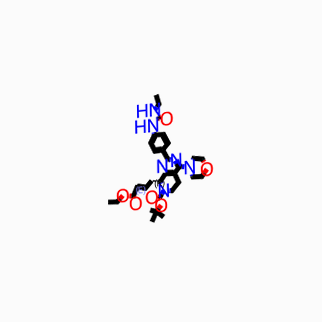 CCNC(=O)Nc1ccc(-c2nc3c(c(N4CCOCC4)n2)CCN(C(=O)OC(C)(C)C)[C@@H]3C/C=C/C(=O)OCC)cc1